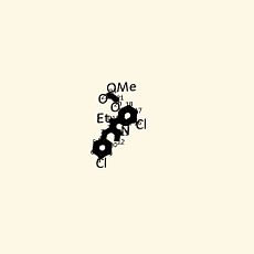 CCc1c(Cc2ccc(Cl)cc2)c(C)nc2c(Cl)ccc(OCC(=O)OC)c12